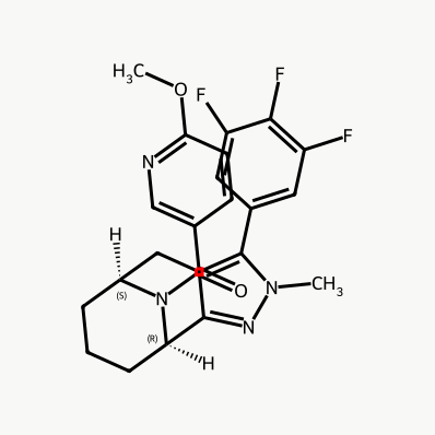 COc1ccc(C(=O)N2[C@H]3CCC[C@@H]2c2nn(C)c(-c4cc(F)c(F)c(F)c4)c2C3)cn1